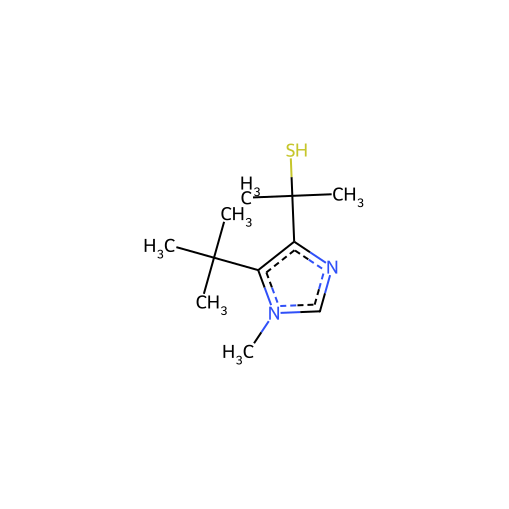 Cn1cnc(C(C)(C)S)c1C(C)(C)C